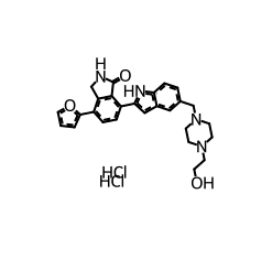 Cl.Cl.O=C1NCc2c(-c3ccco3)ccc(-c3cc4cc(CN5CCN(CCO)CC5)ccc4[nH]3)c21